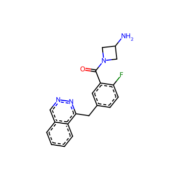 NC1CN(C(=O)c2cc(Cc3nncc4ccccc34)ccc2F)C1